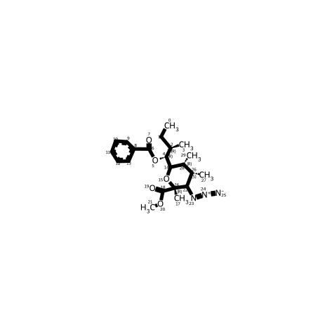 CC[C@@H](C)[C@@H](OC(=O)c1ccccc1)C1O[C@@](C)(C(=O)OC)C(N=[N+]=[N-])[C@@H](C)[C@H]1C